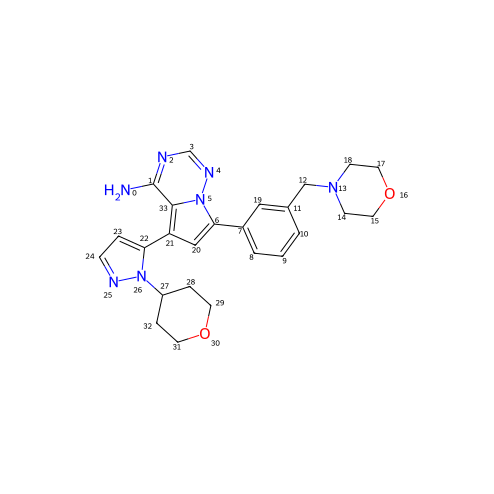 Nc1ncnn2c(-c3cccc(CN4CCOCC4)c3)cc(-c3ccnn3C3CCOCC3)c12